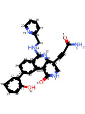 NC(=O)C#Cc1c[nH]c(=O)c2c1nc(NCc1ccccn1)c1ccc(-c3ccccc3O)cc12